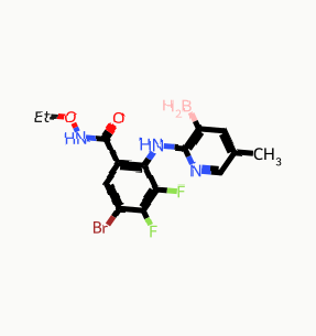 Bc1cc(C)cnc1Nc1c(C(=O)NOCC)cc(Br)c(F)c1F